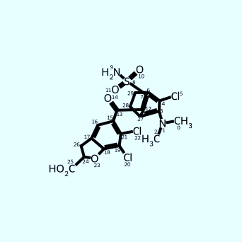 CN(C)c1c(Cl)c2c(S(N)(=O)=O)c(C(=O)c3cc4c(c(Cl)c3Cl)OC(C(=O)O)C4)c1CC2